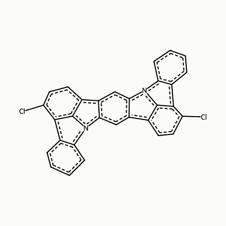 Clc1ccc2c3cc4c(cc3n3c5ccccc5c1c23)c1ccc(Cl)c2c3ccccc3n4c12